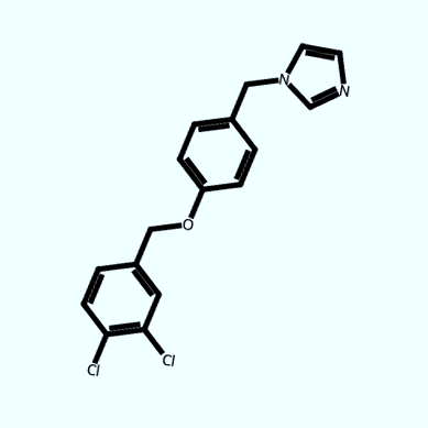 Clc1ccc(COc2ccc(Cn3ccnc3)cc2)cc1Cl